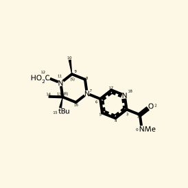 CNC(=O)c1ccc(N2C[C@H](C)N(C(=O)O)[C@](C)(C(C)(C)C)C2)cn1